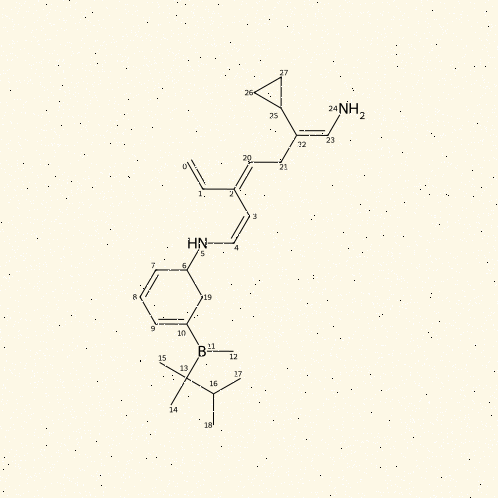 C=CC(/C=C\NC1C=CC=C(B(C)C(C)(C)C(C)C)C1)=C/C/C(=C/N)C1CC1